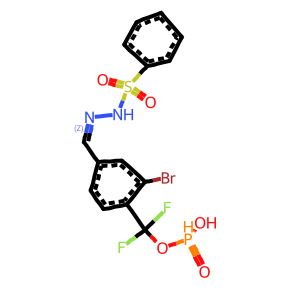 O=[PH](O)OC(F)(F)c1ccc(/C=N\NS(=O)(=O)c2ccccc2)cc1Br